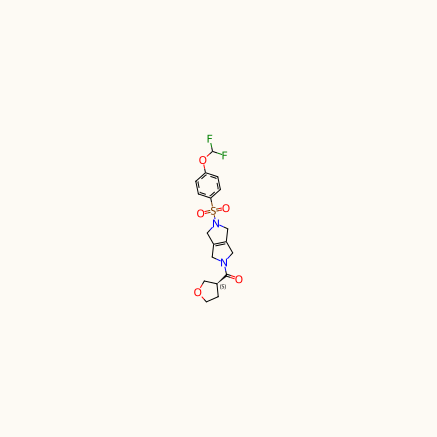 O=C([C@H]1CCOC1)N1CC2=C(C1)CN(S(=O)(=O)c1ccc(OC(F)F)cc1)C2